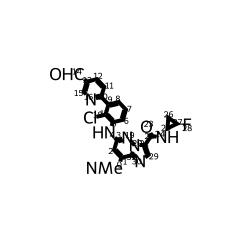 CNc1cc(Nc2cccc(-c3ccc(C=O)cn3)c2Cl)nn2c(C(=O)N[C@@H]3C[C@@H]3F)cnc12